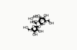 O=[N+]([O-])O.OC[C@H]1O[C@@](CO)(O[C@H]2O[C@H](CO)[C@@H](O)[C@H](O)[C@H]2O)[C@@H](O)[C@@H]1O